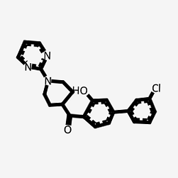 O=C(c1ccc(-c2cccc(Cl)c2)cc1O)C1CCN(c2ncccn2)CC1